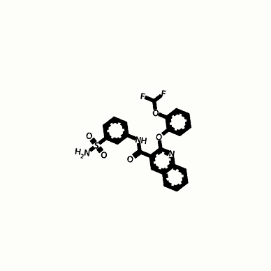 NS(=O)(=O)c1cccc(NC(=O)c2cc3ccccc3nc2Oc2ccccc2OC(F)F)c1